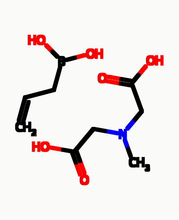 C=CCB(O)O.CN(CC(=O)O)CC(=O)O